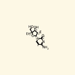 CC[C@]1(CO)O[C@@H](n2ccc(N)nc2=O)[C@@H](F)[C@@H]1O